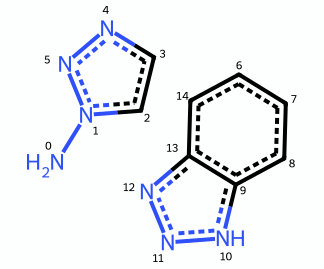 Nn1ccnn1.c1ccc2[nH]nnc2c1